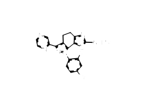 CC(=O)Nc1nc2c(s1)-c1c(c(-c3cnccn3)nn1-c1ccc(Br)cc1Cl)CC2